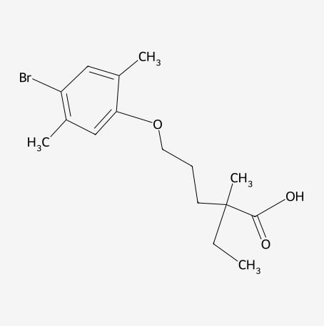 CCC(C)(CCCOc1cc(C)c(Br)cc1C)C(=O)O